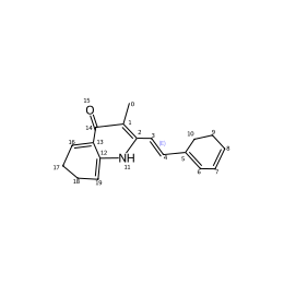 Cc1c(/C=C/C2=CC=CCC2)[nH]c2c(c1=O)=CCCC=2